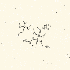 CCCS(SSS)(SSS)[Si](OC)(OC)OC.CCC[Si](OC)(OC)OC.N.N